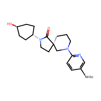 CC(=O)Nc1ccc(N2CCC[C@@]3(CCN([C@H]4CC[C@H](O)CC4)C3=O)C2)nc1